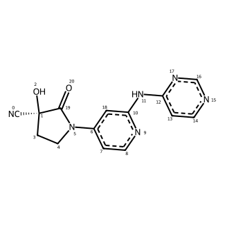 N#C[C@@]1(O)CCN(c2ccnc(Nc3ccncn3)c2)C1=O